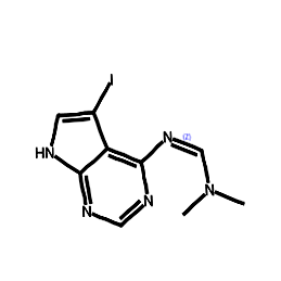 CN(C)/C=N\c1ncnc2[nH]cc(I)c12